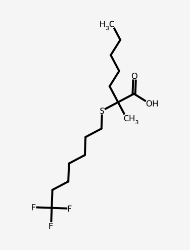 CCCCCC(C)(SCCCCCCC(F)(F)F)C(=O)O